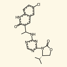 CC(Nc1ncnc(N2C(=O)OC[C@@H]2C(C)C)n1)c1cc2cc(Cl)ccc2[nH]c1=O